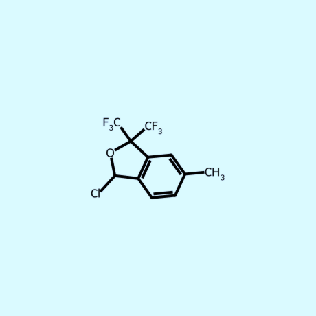 Cc1ccc2c(c1)C(C(F)(F)F)(C(F)(F)F)OC2Cl